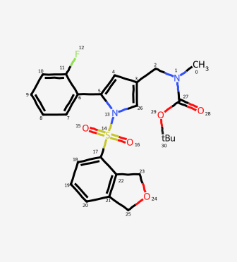 CN(Cc1cc(-c2ccccc2F)n(S(=O)(=O)c2cccc3c2COC3)c1)C(=O)OC(C)(C)C